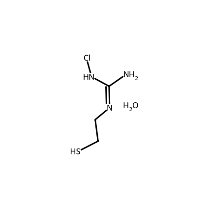 NC(=NCCS)NCl.O